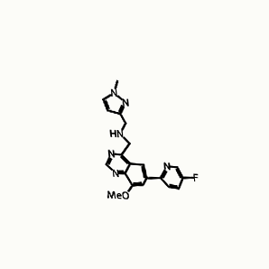 COc1cc(-c2ccc(F)cn2)cc2c(CNCc3ccn(C)n3)ncnc12